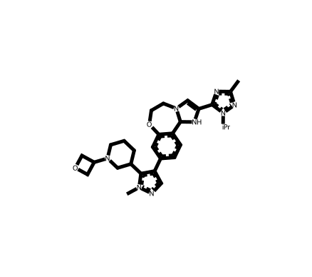 Cc1nc(C2=CN3CCOc4cc(-c5cnn(C)c5C5CCCN(C6COC6)C5)ccc4C3N2)n(C(C)C)n1